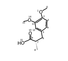 COc1ccc(C[C@H](C)C(=O)O)cc1OC